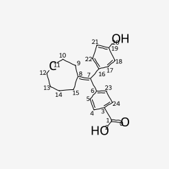 O=C(O)c1ccc(C(=C2CCCCCCC2)c2ccc(O)cc2)cc1